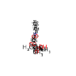 CCC(C)(CC(C)(C)C(=O)Oc1ccc(OC(=O)/C=C/c2ccc(-c3ccccc3)cc2)cc1)C(=O)OCC(C)O